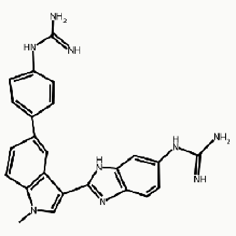 Cn1cc(-c2nc3ccc(NC(=N)N)cc3[nH]2)c2cc(-c3ccc(NC(=N)N)cc3)ccc21